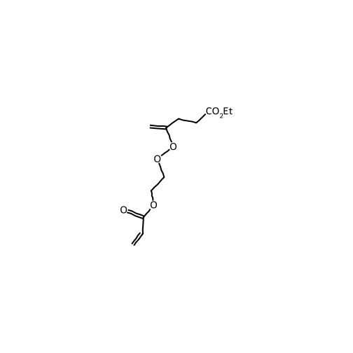 C=CC(=O)OCCOOC(=C)CCC(=O)OCC